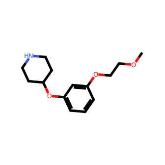 COCCOc1cccc(OC2CCNCC2)c1